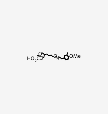 COc1ccc(CC=NOCCCCC2COC(C)(C(=O)O)OC2)cc1C